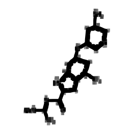 CNC(N)=NC(=O)c1cc2c(C(F)(F)F)cc(Oc3cncc(N)c3)cc2[nH]1